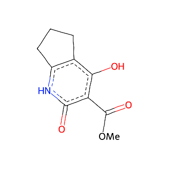 COC(=O)c1c(O)c2c([nH]c1=O)CCC2